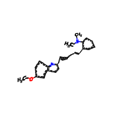 COc1ccc2nc(/C=C/C=C/c3ccccc3N(C)C)ccc2c1